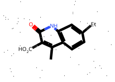 CCc1ccc2c(C)c(C(=O)O)c(=O)[nH]c2c1